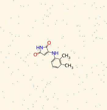 Cc1cccc(NC2=CC(=O)NC2=O)c1C